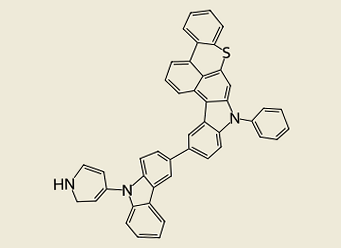 C1=CC(n2c3ccccc3c3cc(-c4ccc5c(c4)c4c6cccc7c6c(cc4n5-c4ccccc4)Sc4ccccc4-7)ccc32)=CCN1